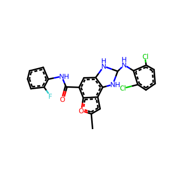 Cc1cc2c3c(cc(C(=O)Nc4ccccc4F)c2o1)NC(Nc1c(Cl)cccc1Cl)N3